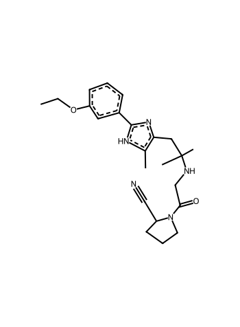 CCOc1cccc(-c2nc(CC(C)(C)NCC(=O)N3CCCC3C#N)c(C)[nH]2)c1